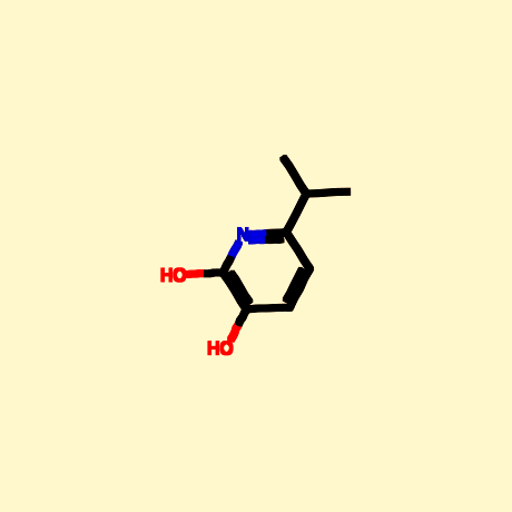 CC(C)c1ccc(O)c(O)n1